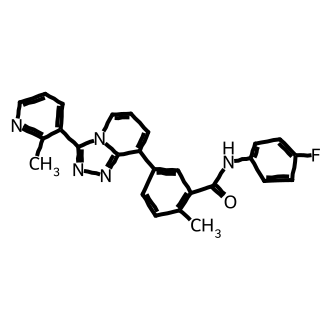 Cc1ccc(-c2cccn3c(-c4cccnc4C)nnc23)cc1C(=O)Nc1ccc(F)cc1